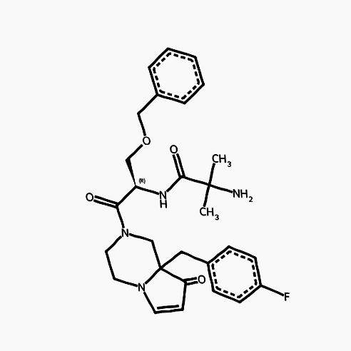 CC(C)(N)C(=O)N[C@H](COCc1ccccc1)C(=O)N1CCN2C=CC(=O)C2(Cc2ccc(F)cc2)C1